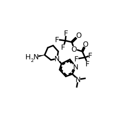 CN(C)c1ccc(N2CCC[C@H](N)C2)cn1.O=C(OC(=O)C(F)(F)F)C(F)(F)F